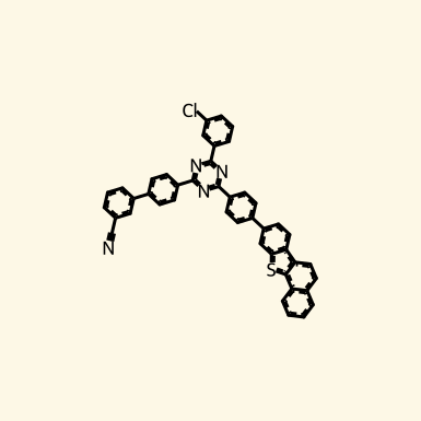 N#Cc1cccc(-c2ccc(-c3nc(-c4ccc(-c5ccc6c(c5)sc5c7ccccc7ccc65)cc4)nc(-c4cccc(Cl)c4)n3)cc2)c1